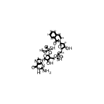 Nc1nc2c(ncn2[C@@H]2O[C@H](OP(=O)(S)OI)C(COP(=O)(S)OC[C@H]3O[C@@H](n4ccc5ccccc5c4=O)C[C@@H]3O)C2O)c(=O)[nH]1